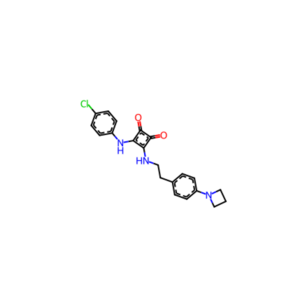 O=c1c(NCCc2ccc(N3CCC3)cc2)c(Nc2ccc(Cl)cc2)c1=O